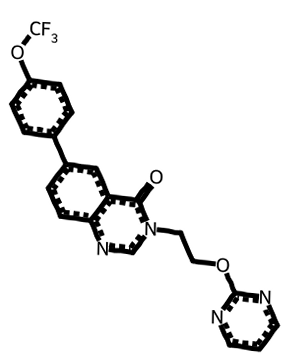 O=c1c2cc(-c3ccc(OC(F)(F)F)cc3)ccc2ncn1CCOc1ncccn1